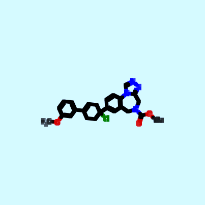 CC(C)(C)OC(=O)N1Cc2cc(C3(Cl)CC=C(c4cccc(OC(F)(F)F)c4)CC3)ccc2-n2cnnc2C1